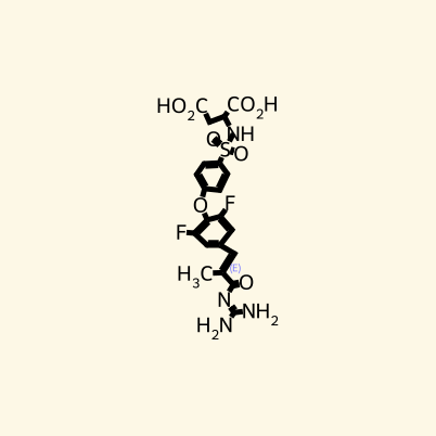 C/C(=C\c1cc(F)c(Oc2ccc(S(=O)(=O)NC(CC(=O)O)C(=O)O)cc2)c(F)c1)C(=O)N=C(N)N